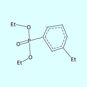 CCOP(=O)(OCC)c1[c]ccc(CC)c1